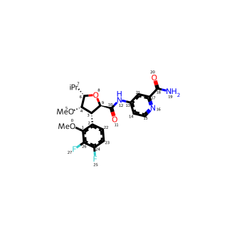 COc1c([C@@H]2[C@H](OC)[C@H](C(C)C)O[C@H]2C(=O)Nc2ccnc(C(N)=O)c2)ccc(F)c1F